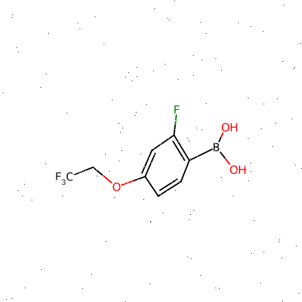 OB(O)c1ccc(OCC(F)(F)F)cc1F